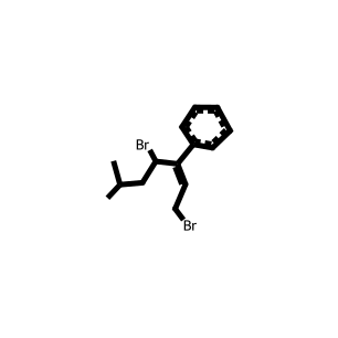 CC(C)CC(Br)/C(=C\CBr)c1ccccc1